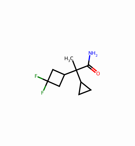 CC(C(N)=O)(C1CC1)C1CC(F)(F)C1